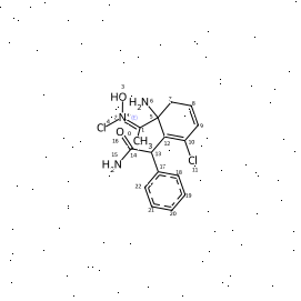 C/C(=[N+](/O)Cl)C1(N)CC=CC(Cl)=C1C(C(N)=O)c1ccccc1